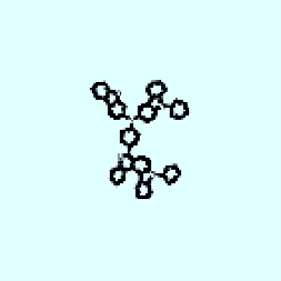 c1ccc(-n2c3ccccc3c3cc(N(c4ccc(-c5nc6ccccc6c6c5ccc5c6c6ccccc6n5-c5ccccc5)cc4)c4ccc5c(c4)oc4ccccc45)ccc32)cc1